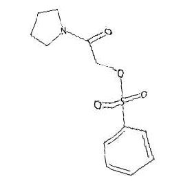 O=C(COS(=O)(=O)c1ccccc1)N1CCCC1